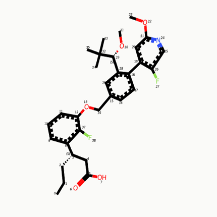 CCC[C@@H](CC(=O)O)c1cccc(OCc2ccc(-c3cc(OC)ncc3F)c([C@@H](OC)C(C)(C)C)c2)c1F